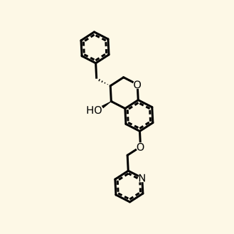 O[C@@H]1c2cc(OCc3ccccn3)ccc2OC[C@H]1Cc1ccccc1